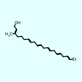 CCC=CCC=CCC=CCC=CCC=CCCCC(C)=CCO